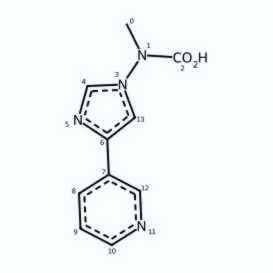 CN(C(=O)O)n1cnc(-c2cccnc2)c1